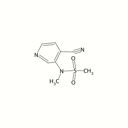 CN(c1cnccc1C#N)S(C)(=O)=O